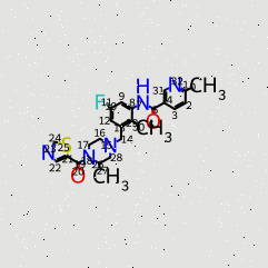 Cc1ccc(C(=O)Nc2cc(F)cc(CN3CCN(C(=O)c4cncs4)C(C)C3)c2C)cn1